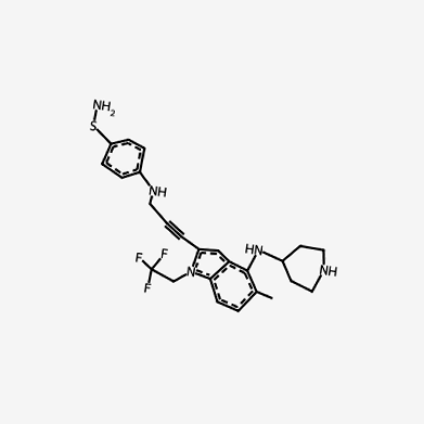 Cc1ccc2c(cc(C#CCNc3ccc(SN)cc3)n2CC(F)(F)F)c1NC1CCNCC1